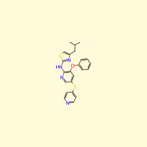 CC(C)Cc1csc(Nc2ncc(Sc3ccncc3)cc2Oc2ccccc2)n1